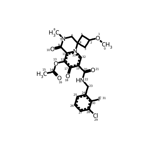 COC1CC2(C1)CN(C)C(=O)c1c(OC(C)=O)c(=O)c(C(=O)NCc3cccc(Cl)c3F)cn12